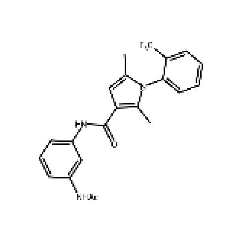 CC(=O)Nc1cccc(NC(=O)c2cc(C)n(-c3ccccc3C(F)(F)F)c2C)c1